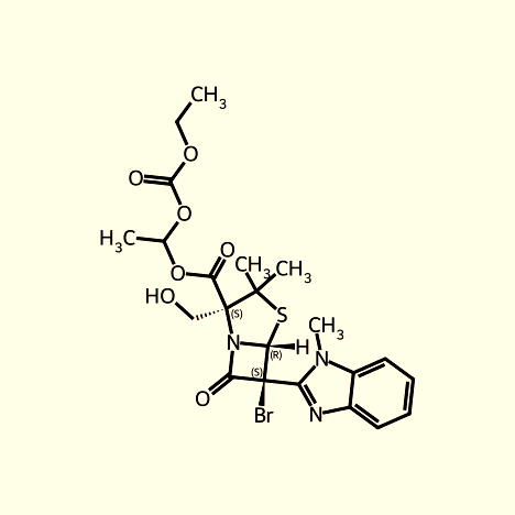 CCOC(=O)OC(C)OC(=O)[C@]1(CO)N2C(=O)[C@@](Br)(c3nc4ccccc4n3C)[C@H]2SC1(C)C